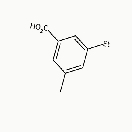 [CH2]Cc1cc(C)cc(C(=O)O)c1